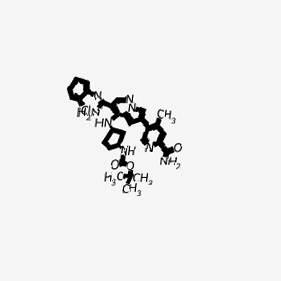 Cc1cc(C(N)=O)ncc1-c1cc2c(N[C@@H]3CC[C@H](NC(=O)OC(C)(C)C)C3)c(/C(N)=N/c3ccccc3Cl)cnn2c1